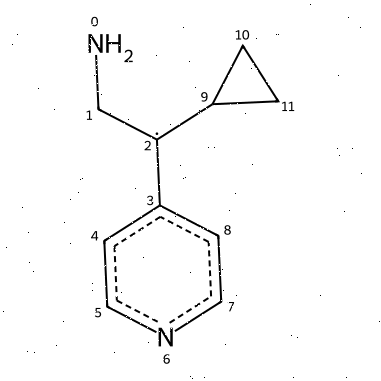 NC[C](c1ccncc1)C1CC1